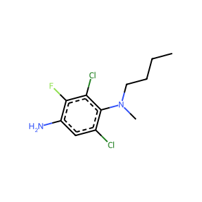 CCCCN(C)c1c(Cl)cc(N)c(F)c1Cl